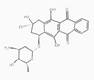 CC[C@]1(O)Cc2c(O)c3c(c(O)c2[C@@H](O[C@H]2C[C@H](N)[C@H](O)[C@H](C)O2)C1)C(=O)c1ccccc1C3=O